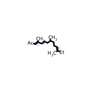 CC/C(C)=C/CCC(C)C/C=C/C(C)=C/C(C)=O